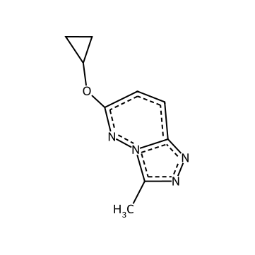 Cc1nnc2ccc(OC3CC3)nn12